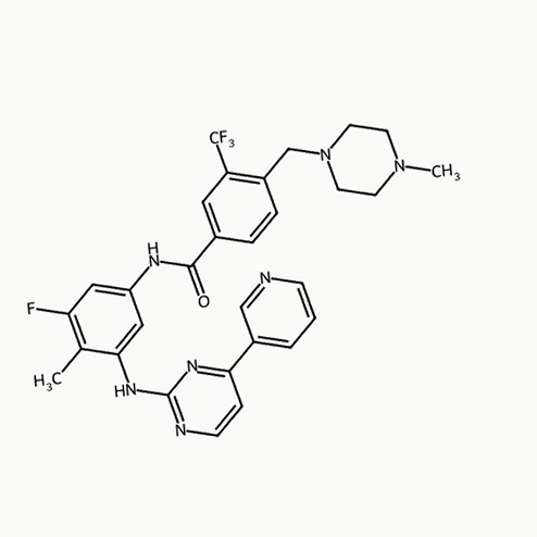 Cc1c(F)cc(NC(=O)c2ccc(CN3CCN(C)CC3)c(C(F)(F)F)c2)cc1Nc1nccc(-c2cccnc2)n1